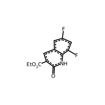 CCOC(=O)c1cc2cc(F)cc(F)c2[nH]c1=O